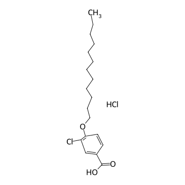 CCCCCCCCCCCCOc1ccc(C(=O)O)cc1Cl.Cl